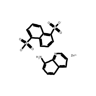 Nc1cccc2cccnc12.O=S(=O)([O-])c1cccc2c(S(=O)(=O)[O-])cccc12.[Zn+2]